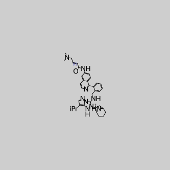 CC(C)c1cnn2c(NCc3ccccc3-c3nccc4cc(NC(=O)/C=C/CN(C)C)ccc34)[n+](C3CC4CCCC3N4)[nH]c12